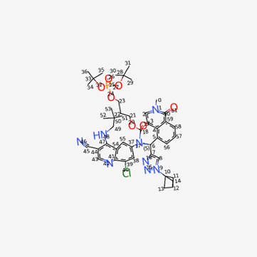 Cn1ccc2c([C@@H](c3cn(C45CC(C4)C5)nn3)N(C(=O)OCCCOP(=O)(OC(C)(C)C)OC(C)(C)C)c3cc(Cl)c4ncc(C#N)c(NCC(C)(C)C)c4c3)cccc2c1=O